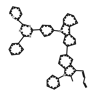 C=C/C=C\c1c(C)n(-c2ccccc2)c2ccc(-c3ccc4c5ccccc5n(-c5ccc(-c6nc(-c7ccccc7)nc(-c7ccccc7)n6)cc5)c4c3)cc12